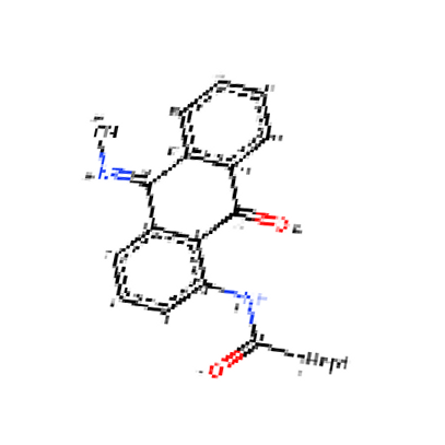 CCCCCCCC(=O)Nc1cccc2c1C(=O)c1ccccc1/C2=N\C#N